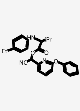 CCc1ccc(NC(C(=O)OC(C#N)c2cccc(Oc3ccccc3)n2)C(C)C)cc1